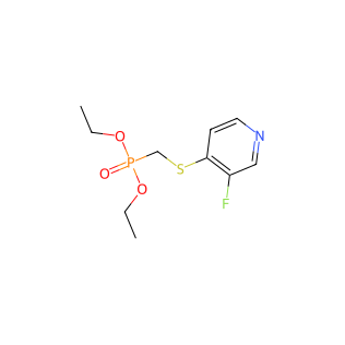 CCOP(=O)(CSc1ccncc1F)OCC